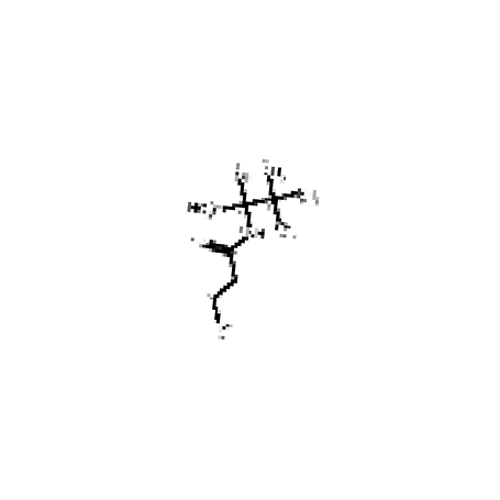 CC(C)CCC(=O)NC(O)(C(=O)O)C(C)(C)N